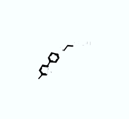 Cc1ccc(-c2ccc(OCCCOCC(C)C)cc2)nc1